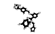 Fc1cc2nc(-c3ccc(Cl)cc3OCc3ccc(-c4nnn[nH]4)cc3F)n(CC3CCCC3)c2cc1F